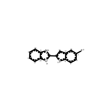 Fc1ccc2sc(-c3nc4ccccc4o3)cc2c1